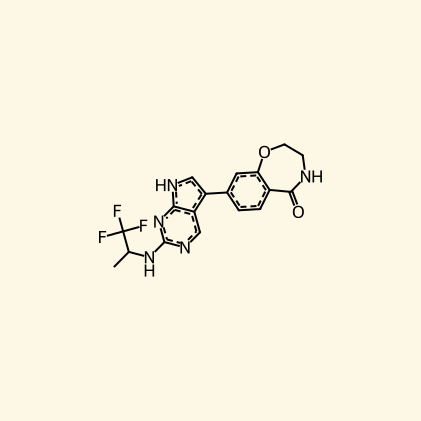 CC(Nc1ncc2c(-c3ccc4c(c3)OCCNC4=O)c[nH]c2n1)C(F)(F)F